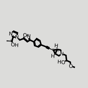 COCC(O)CN1C[C@@H]2[C@H](C#Cc3ccc(-c4cc(Cn5ccnc5[C@H](C)O)on4)cc3)[C@@H]2C1